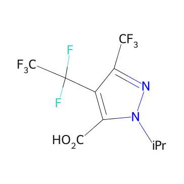 CC(C)n1nc(C(F)(F)F)c(C(F)(F)C(F)(F)F)c1C(=O)O